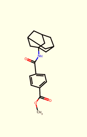 COC(=O)c1ccc(C(=O)NC23CC4CC(CC(C4)C2)C3)cc1